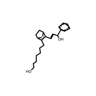 OCCCCCCCC1C2CCC(O2)C1C=CC(O)c1ccccc1